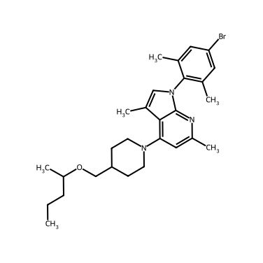 CCCC(C)OCC1CCN(c2cc(C)nc3c2c(C)cn3-c2c(C)cc(Br)cc2C)CC1